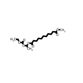 CCOC(=O)OC(C)OC(=O)CCCCCCCCCC(=O)OC